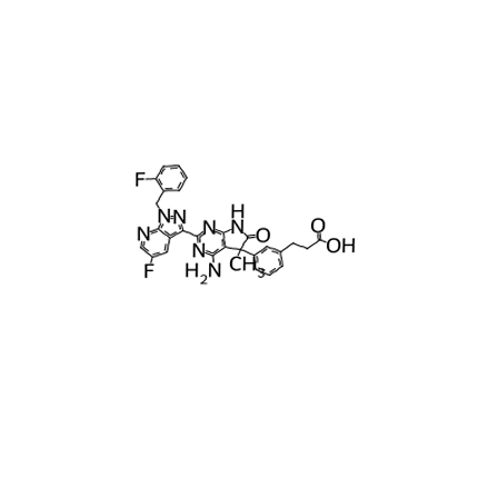 CC1(c2cccc(CCC(=O)O)c2)C(=O)Nc2nc(-c3nn(Cc4ccccc4F)c4ncc(F)cc34)nc(N)c21